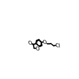 O=C1COc2cc(OCCCCl)ccc21